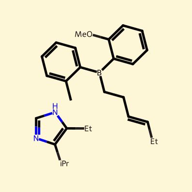 CCC=CCCB(c1ccccc1C)c1ccccc1OC.CCc1[nH]cnc1C(C)C